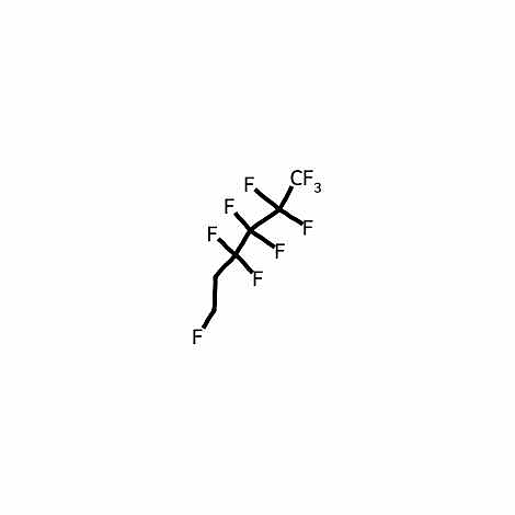 FCCC(F)(F)C(F)(F)C(F)(F)C(F)(F)F